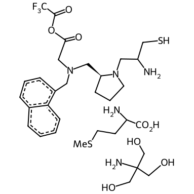 CSCCC(N)C(=O)O.NC(CO)(CO)CO.NC(CS)CN1CCC[C@H]1CN(CC(=O)OC(=O)C(F)(F)F)Cc1cccc2ccccc12